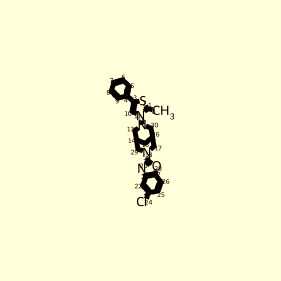 CC1SC(c2ccccc2)=[C]N1N1CC2CC(CN(c3nc4cc(Cl)ccc4o3)C2)C1